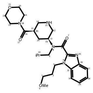 COCCCn1c(C(=O)N(CC(C)C)[C@@H]2CNC[C@H](C(=O)N3CCOCC3)C2)nc2ccccc21